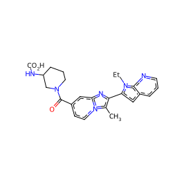 CCn1c(-c2nc3cc(C(=O)N4CCCC(NC(=O)O)C4)ccn3c2C)cc2cccnc21